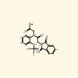 O=C(O)CN(C(=O)CN1C(=O)c2ccccc2C1=O)c1ccccc1OC(F)(F)F